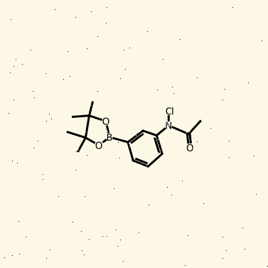 CC(=O)N(Cl)c1cccc(B2OC(C)(C)C(C)(C)O2)c1